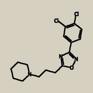 Clc1ccc(-c2noc(CCCN3CCCCC3)n2)cc1Cl